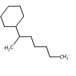 [CH2]CCCCC([CH2])C1CCCCC1